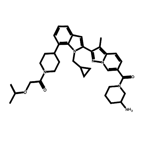 Cc1c(-c2cc3cccc(C4CCN(C(=O)COC(C)C)CC4)c3n2CC2CC2)nn2cc(C(=O)N3CCCC(N)C3)ccc12